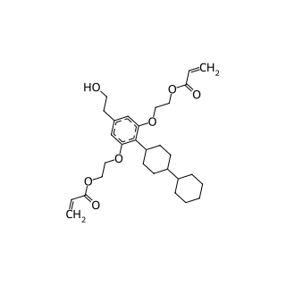 C=CC(=O)OCCOc1cc(CCO)cc(OCCOC(=O)C=C)c1C1CCC(C2CCCCC2)CC1